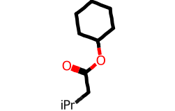 CC(C)CC(=O)OC1CCCCC1